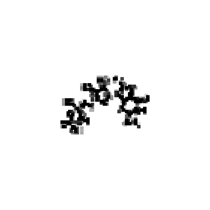 Nc1nc2c(nc(Br)n2[C@@H]2O[C@H](COP(=O)(O)OP(=O)(O)O)C(O)C2O)c(=O)[nH]1